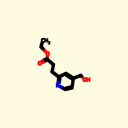 CCOC(=O)CCc1cc(CO)ccn1